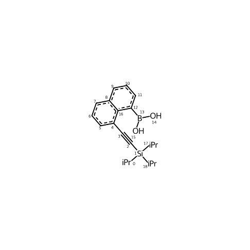 CC(C)[Si](C#Cc1cccc2cccc(B(O)O)c12)(C(C)C)C(C)C